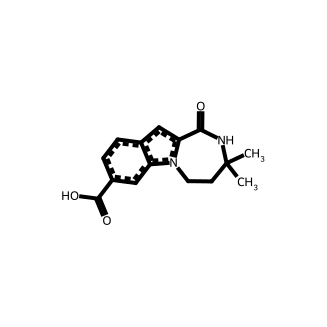 CC1(C)CCn2c(cc3ccc(C(=O)O)cc32)C(=O)N1